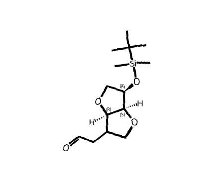 CC(C)(C)[Si](C)(C)O[C@@H]1CO[C@@H]2C(CC=O)CO[C@@H]21